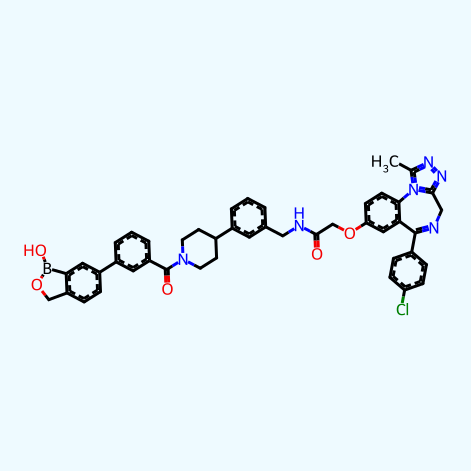 Cc1nnc2n1-c1ccc(OCC(=O)NCc3cccc(C4CCN(C(=O)c5cccc(-c6ccc7c(c6)B(O)OC7)c5)CC4)c3)cc1C(c1ccc(Cl)cc1)=NC2